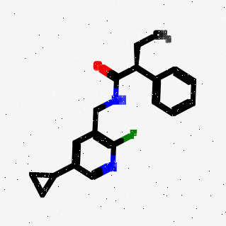 CC[C@H](C(=O)NCc1cc(C2CC2)cnc1F)c1ccccc1